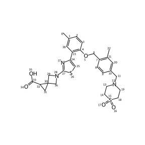 Cc1ccc(OCc2ccc(CN3CCS(=O)(=O)CC3)cc2C)c(-c2csc(N3CC4(CC4C(=O)O)C3)n2)c1